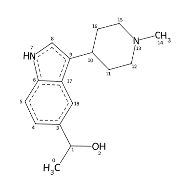 CC(O)c1ccc2[nH]cc(C3CCN(C)CC3)c2c1